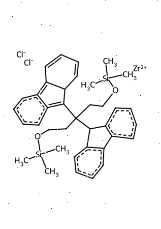 C[Si](C)(C)OCCC(CCO[Si](C)(C)C)(C1=c2ccccc2=C2C=CC=CC21)C1c2ccccc2-c2ccccc21.[Cl-].[Cl-].[Zr+2]